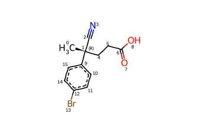 C[C@@](C#N)(CCC(=O)O)c1ccc(Br)cc1